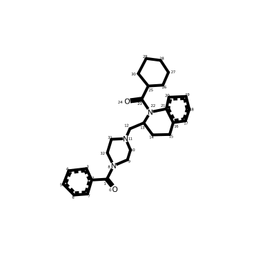 O=C(c1ccccc1)N1CCN(CC2CCc3ccccc3N2C(=O)C2CCCCC2)CC1